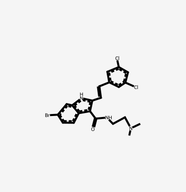 CN(C)CCNC(=O)c1c(/C=C/c2cc(Cl)cc(Cl)c2)[nH]c2cc(Br)ccc12